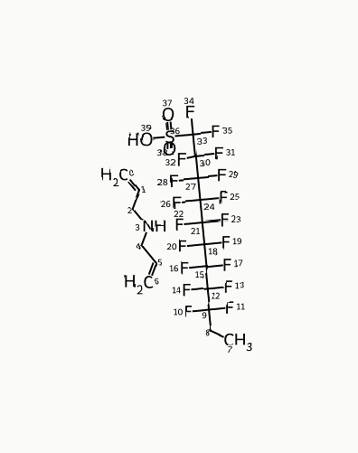 C=CCNCC=C.CCC(F)(F)C(F)(F)C(F)(F)C(F)(F)C(F)(F)C(F)(F)C(F)(F)C(F)(F)C(F)(F)S(=O)(=O)O